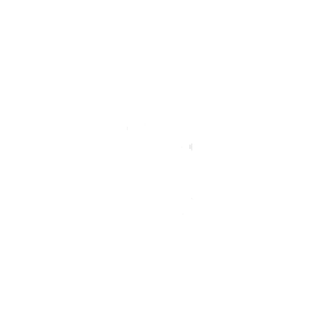 CS(=O)(=O)CC(O)CS(C)(=O)=O